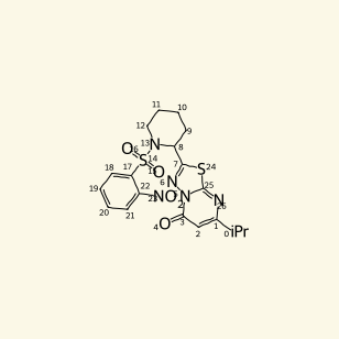 CC(C)c1cc(=O)n2nc(C3CCCCN3S(=O)(=O)c3ccccc3[N+](=O)[O-])sc2n1